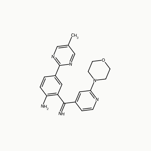 Cc1cnc(-c2ccc(N)c(C(=N)c3ccnc(N4CCOCC4)c3)c2)nc1